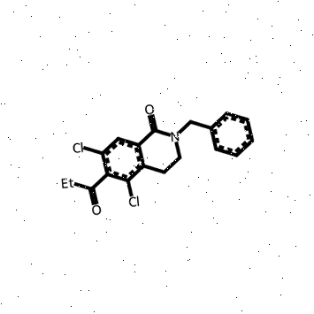 CCC(=O)c1c(Cl)cc2c(c1Cl)CCN(Cc1ccccc1)C2=O